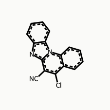 N#Cc1c(Cl)c2ccccc2n2c1nc1ccccc12